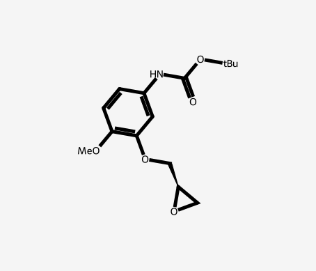 COc1ccc(NC(=O)OC(C)(C)C)cc1OC[C@H]1CO1